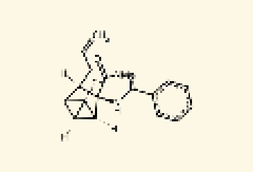 C=CC[C@@H]1C2[C@@H]3[C@H]([C@@]1(NC(=O)c1ccccc1)C(=O)NC)[C@]23C